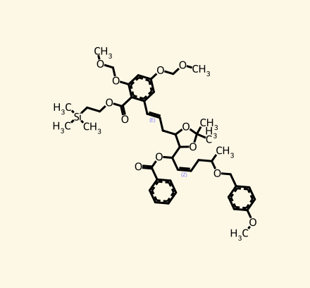 COCOc1cc(/C=C/CC2OC(C)(C)OC2C(/C=C\CC(C)OCc2ccc(OC)cc2)OC(=O)c2ccccc2)c(C(=O)OCC[Si](C)(C)C)c(OCOC)c1